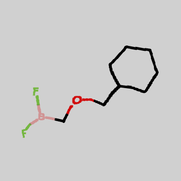 FB(F)COCC1CCCCC1